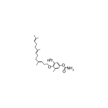 CCCc1cc(OC(N)=O)cc(C)c1OCC/C=C(\C)CC/C=C(\C)CCC=C(C)C